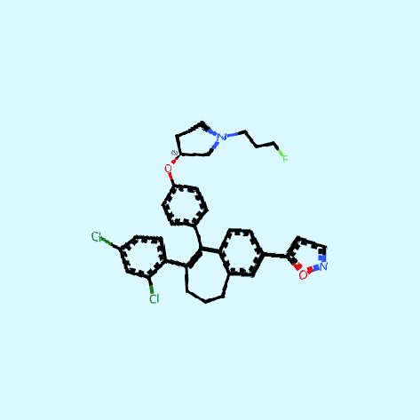 FCCCN1CC[C@H](Oc2ccc(C3=C(c4ccc(Cl)cc4Cl)CCCc4cc(-c5ccno5)ccc43)cc2)C1